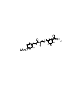 COc1ccc(C=CC(=O)NCCOc2cccc(C(N)=O)c2)cc1